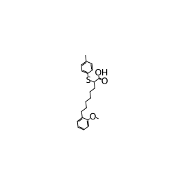 COc1ccccc1CCCCCCC(Sc1ccc(C)cc1)C(=O)O